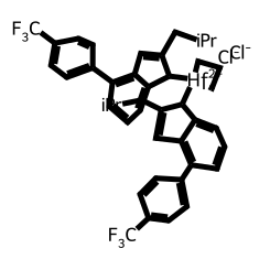 CC(C)CC1=Cc2c(-c3ccc(C(F)(F)F)cc3)cccc2[CH]1[Hf+2]1([CH]2C(CC(C)C)=Cc3c(-c4ccc(C(F)(F)F)cc4)cccc32)[CH2]C[CH2]1.[Cl-].[Cl-]